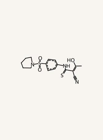 CC(O)=C(C#N)C(=S)Nc1ccc(S(=O)(=O)N2CCCCC2)cc1